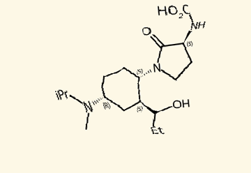 CCC(O)[C@H]1C[C@H](N(C)C(C)C)CC[C@@H]1N1CC[C@H](NC(=O)O)C1=O